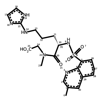 Cc1cnc2c(S(=O)(=O)N[C@@H](CCCNc3ncc[nH]3)C(=O)N(C)CC(=O)O)cccc2c1